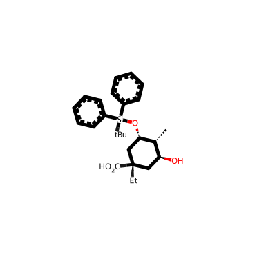 CC[C@@]1(C(=O)O)C[C@H](O[Si](c2ccccc2)(c2ccccc2)C(C)(C)C)[C@H](C)[C@@H](O)C1